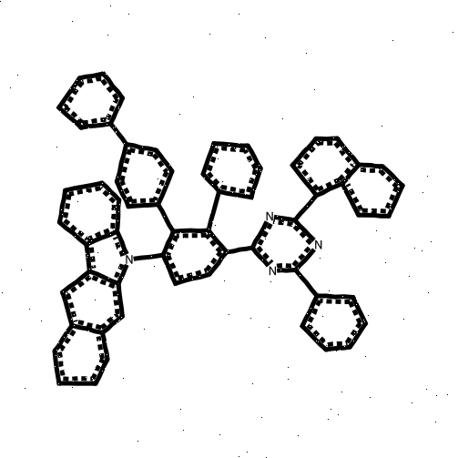 c1ccc(-c2ccc(-c3c(-n4c5ccccc5c5cc6ccccc6cc54)ccc(-c4nc(-c5ccccc5)nc(-c5cccc6ccccc56)n4)c3-c3ccccc3)cc2)cc1